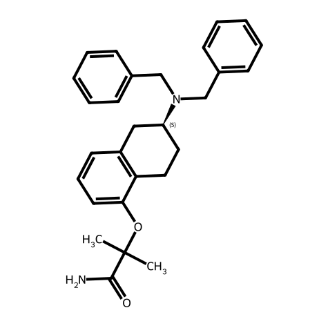 CC(C)(Oc1cccc2c1CC[C@H](N(Cc1ccccc1)Cc1ccccc1)C2)C(N)=O